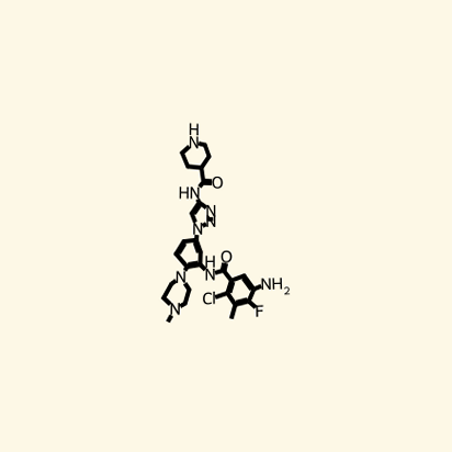 Cc1c(F)c(N)cc(C(=O)Nc2cc(-n3cc(NC(=O)C4CCNCC4)nn3)ccc2N2CCN(C)CC2)c1Cl